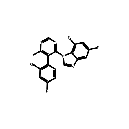 Cc1ncnc(-n2cnc3cc(F)cc(F)c32)c1-c1ccc(F)cc1Cl